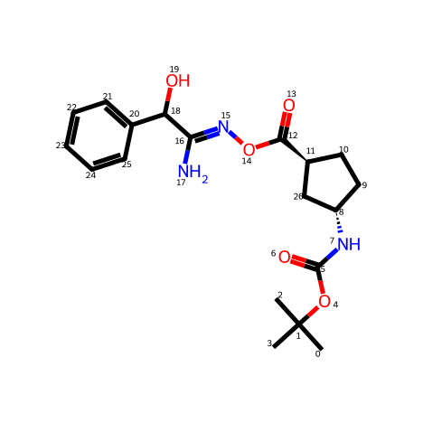 CC(C)(C)OC(=O)N[C@H]1CC[C@H](C(=O)O/N=C(\N)C(O)c2ccccc2)C1